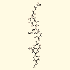 C=COc1ccc(C(=O)Oc2ccc(CCc3ccc(OC(=O)c4ccc5cc(OCCCOC6CO6)ccc5c4)c(OC)c3)cc2C=N)cc1